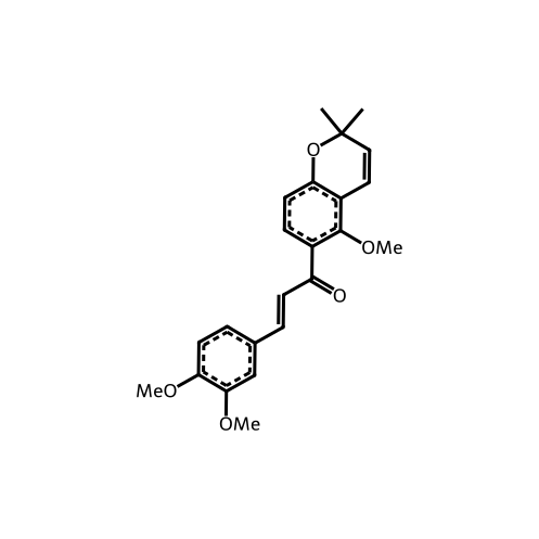 COc1ccc(C=CC(=O)c2ccc3c(c2OC)C=CC(C)(C)O3)cc1OC